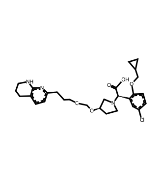 O=C(O)[C@@H](c1cc(Cl)ccc1OCC1CC1)N1CC[C@@H](OCCCCCc2ccc3c(n2)NCCC3)C1